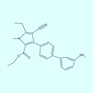 CCOC(=O)c1c(-c2ccc(-c3cccc(N)c3)cc2)c(C#N)c(CC)n1C